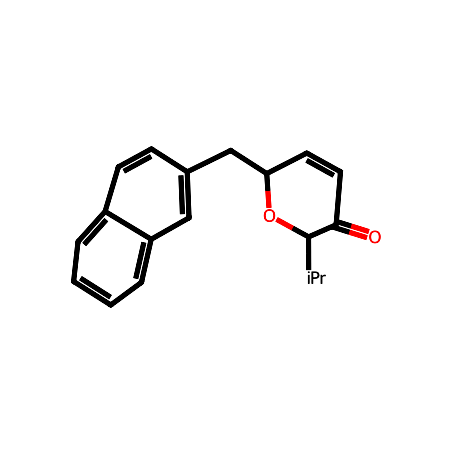 CC(C)C1OC(Cc2ccc3ccccc3c2)C=CC1=O